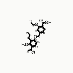 CCCc1c(OCc2ccc(C(=O)O)c(OCC)c2)ccc(C(C)=O)c1O